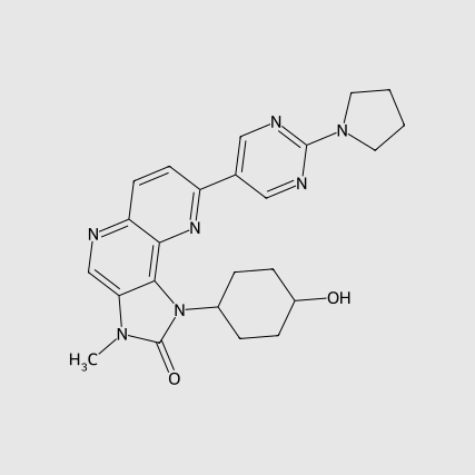 Cn1c(=O)n(C2CCC(O)CC2)c2c3nc(-c4cnc(N5CCCC5)nc4)ccc3ncc21